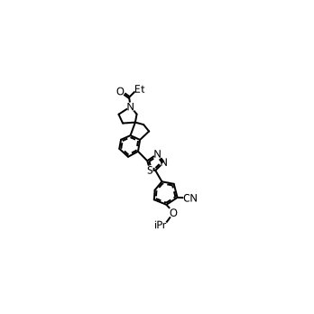 CCC(=O)N1CCC2(CCc3c(-c4nnc(-c5ccc(OC(C)C)c(C#N)c5)s4)cccc32)C1